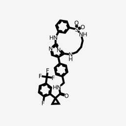 O=C(NCc1ccc(-c2cnc3nc2NCCCNS(=O)(=O)c2cccc(c2)N3)cc1)C1(c2cc(C(F)(F)F)ccc2F)CC1